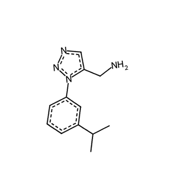 CC(C)c1cccc(-n2nncc2CN)c1